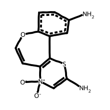 NC1=C[N+]([O-])([O-])C2=C(S1)c1cc(N)ccc1OC=C2